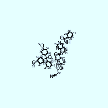 COc1ccc(C(OC[C@H]2O[C@@H](n3cnc4c(NC(=O)c5ccccc5)ncnc43)[C@H](F)[C@@H]2O[PH](=S)OCCC#N)(c2ccccc2)c2ccc(OC)cc2)cc1